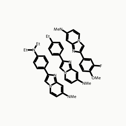 CCN(CC)c1ccc(-c2cn3ccc(NC)cc3n2)cc1.CCc1ccc(-c2cn3ccc(NC)cc3n2)cc1.CNc1ccn2cc(-c3ccc(OC)c(F)c3)nc2c1